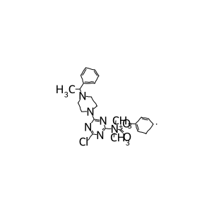 CC(c1ccccc1)N1CCN(c2nc(Cl)nc([N+](C)(C)C(=O)OC3=CC[CH]C=C3)n2)CC1